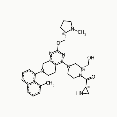 Cc1cccc2cccc(N3CCc4c(nc(OC[C@@H]5CCCN5C)nc4N4CCN(C(=O)[C@H]5CN5)[C@@H](CO)C4)C3)c12